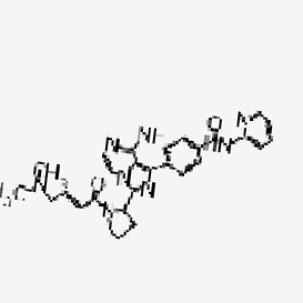 CN(C)CC=CC(=O)N1CCCC1c1nc(-c2ccc(C(=O)Nc3ccccn3)cc2)c2c(N)nccn12